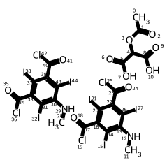 CC(=O)OC(C(=O)O)C(=O)O.CNc1c(I)c(C(=O)Cl)c(I)c(C(=O)Cl)c1I.CNc1c(I)c(C(=O)Cl)c(I)c(C(=O)Cl)c1I